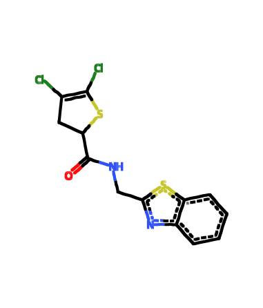 O=C(NCc1nc2ccccc2s1)C1CC(Cl)=C(Cl)S1